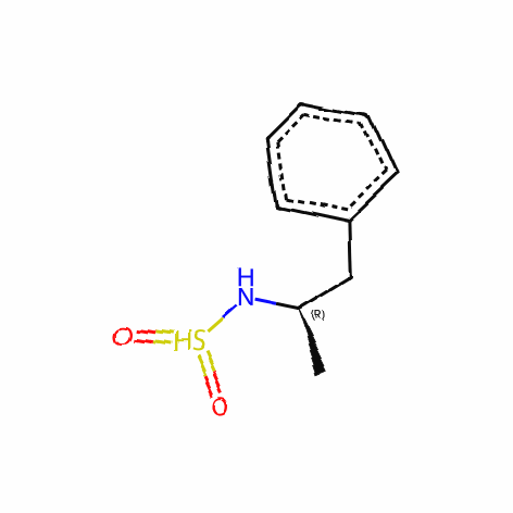 C[C@H](Cc1ccccc1)N[SH](=O)=O